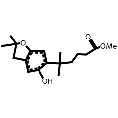 COC(=O)CCCC(C)(C)c1cc2c(cc1O)CC(C)(C)O2